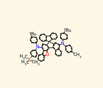 Cc1ccc(N(c2ccc(C(C)(C)C)cc2)c2cc3c(c4ccccc24)-c2c(cc(N(c4ccc(C(C)(C)C)cc4)c4ccc(S(C)(C)C)cc4)c4c2oc2ccccc24)C32c3ccccc3-c3ccccc32)cc1